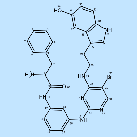 NC(Cc1ccccc1)C(=O)Nc1cccc(Nc2ncc(Br)c(NCCc3c[nH]c4ccc(O)cc34)n2)c1